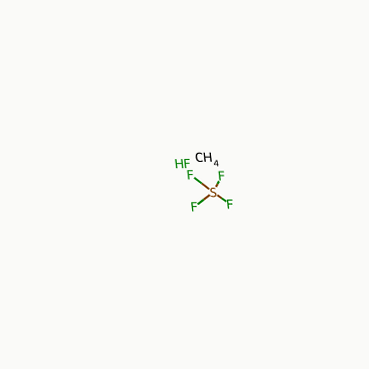 C.F.FS(F)(F)F